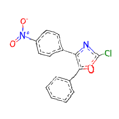 O=[N+]([O-])c1ccc(-c2nc(Cl)oc2-c2ccccc2)cc1